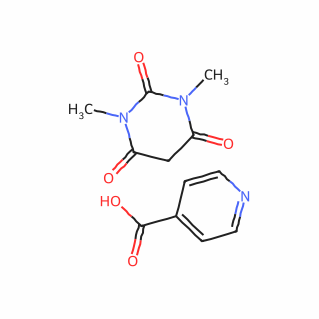 CN1C(=O)CC(=O)N(C)C1=O.O=C(O)c1ccncc1